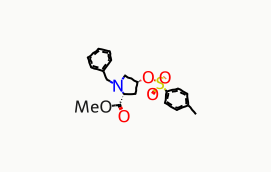 COC(=O)[C@H]1C[C@@H](OS(=O)(=O)c2ccc(C)cc2)CN1Cc1ccccc1